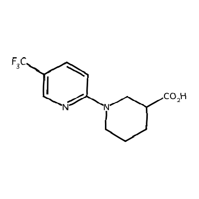 O=C(O)C1CCCN(c2ccc(C(F)(F)F)cn2)C1